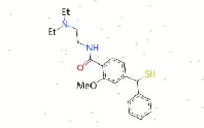 CCN(CC)CCNC(=O)c1ccc(C(S)c2ccccc2)cc1OC